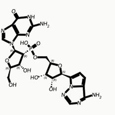 Nc1nc2c(ncn2[C@@H]2O[C@H](CO)[C@@H](O)[C@H]2P(=O)(O)OC[C@H]2O[C@@H](c3ccc4c(N)ncnn34)[C@H](O)[C@@H]2O)c(=O)[nH]1